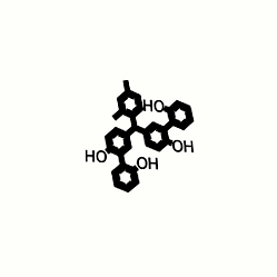 Cc1ccc(C(c2ccc(O)c(-c3ccccc3O)c2)c2ccc(O)c(-c3ccccc3O)c2)c(C)c1